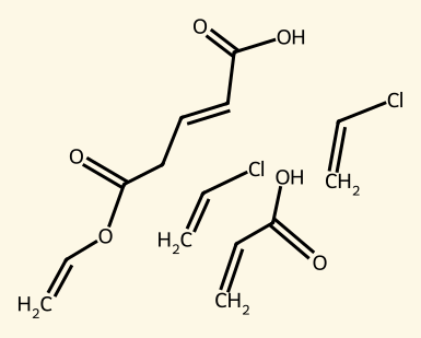 C=CC(=O)O.C=CCl.C=CCl.C=COC(=O)CC=CC(=O)O